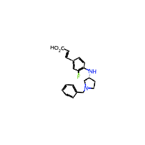 O=C(O)C=Cc1ccc(N[C@@H]2CCN(Cc3ccccc3)C2)c(F)c1